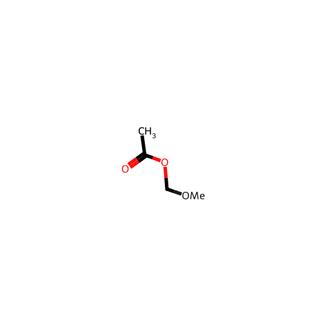 COCOC(C)=O